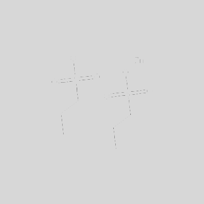 CCCS(=O)(=O)[O-].CCCS(=O)(=O)[O-].[Zn+2]